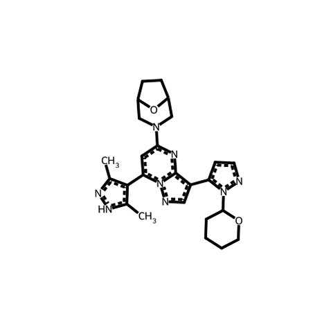 Cc1n[nH]c(C)c1-c1cc(N2CC3CCC(C2)O3)nc2c(-c3ccnn3C3CCCCO3)cnn12